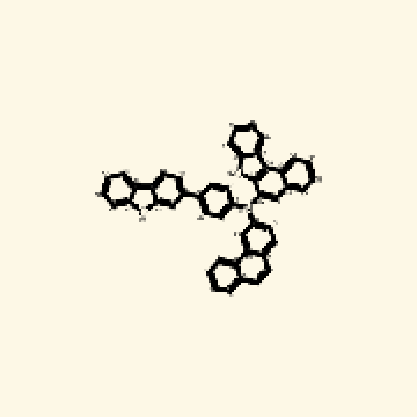 c1ccc2c(c1)ccc1ccc(N(c3ccc(-c4ccc5c(c4)oc4ccccc45)cc3)c3cc4ccccc4c4c3oc3ccccc34)cc12